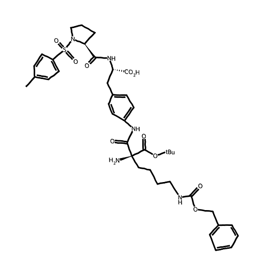 Cc1ccc(S(=O)(=O)N2CCC[C@H]2C(=O)N[C@@H](Cc2ccc(NC(=O)[C@@](N)(CCCCNC(=O)OCc3ccccc3)C(=O)OC(C)(C)C)cc2)C(=O)O)cc1